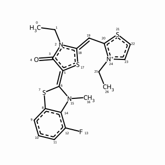 CCn1c(=O)/c(=C2\Sc3cccc(F)c3N2C)s/c1=C\c1scc[n+]1CC